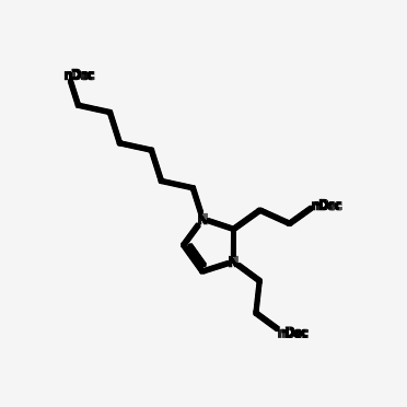 CCCCCCCCCCCCCCCCN1C=CN(CCCCCCCCCCCC)C1CCCCCCCCCCCC